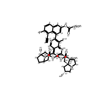 C#Cc1c(F)ccc2cc(OC(=O)CCCCCCCCC)cc(-c3ncc4c(N5CC6CC[C@@H](C5)N6C(=O)OCOC(=O)CCCCCCCCC)nc(OC[C@@]56CCCN5C[C@H](F)C6)nc4c3F)c12